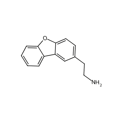 NCCc1ccc2oc3ccccc3c2c1